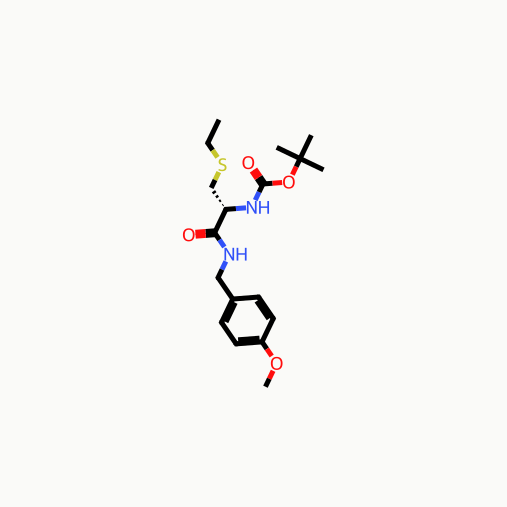 CCSC[C@H](NC(=O)OC(C)(C)C)C(=O)NCc1ccc(OC)cc1